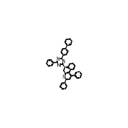 c1ccc(-c2ccc(-c3nc(-c4ccccc4)nc(-c4cc5nc(-c6ccccc6)cc(-c6ccccc6)c5c5ccccc45)n3)cc2)cc1